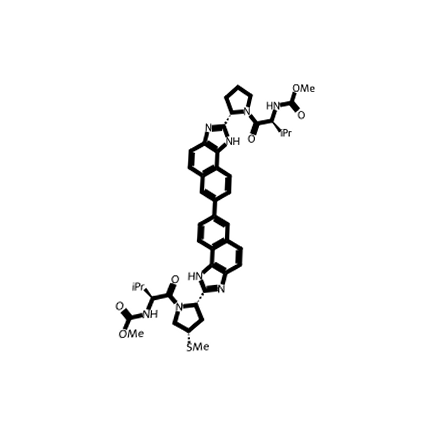 COC(=O)N[C@H](C(=O)N1CCC[C@H]1c1nc2ccc3cc(-c4ccc5c(ccc6nc([C@@H]7C[C@H](SC)CN7C(=O)[C@@H](NC(=O)OC)C(C)C)[nH]c65)c4)ccc3c2[nH]1)C(C)C